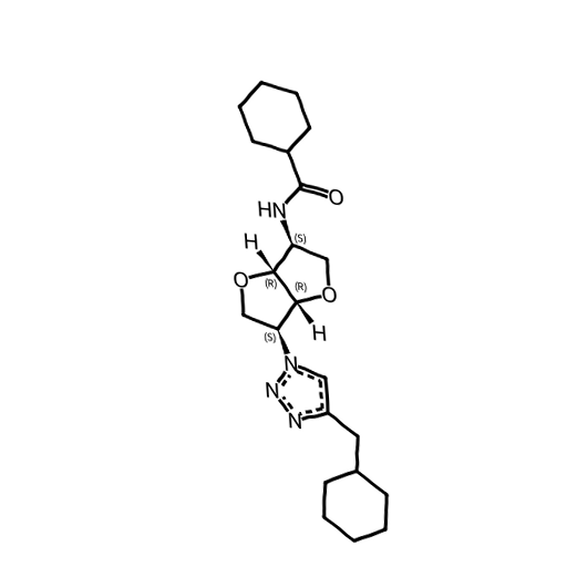 O=C(N[C@H]1CO[C@H]2[C@@H]1OC[C@@H]2n1cc(CC2CCCCC2)nn1)C1CCCCC1